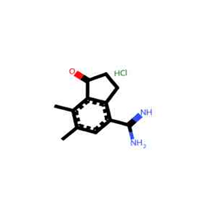 Cc1cc(C(=N)N)c2c(c1C)C(=O)CC2.Cl